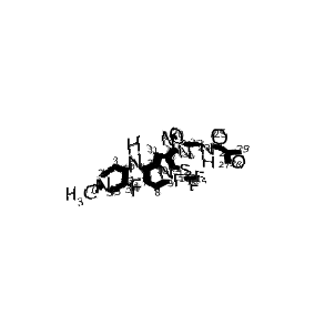 CN1CC[C@@H](Nc2cccn3c(SC(F)(F)F)c(-c4noc(CNC(=O)C5COC5)n4)cc23)[C@@H](F)C1